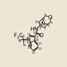 CN1C2COCC1CC(NC(=O)c1cn(C(C)(C)C(F)(F)F)c3ncccc13)C2